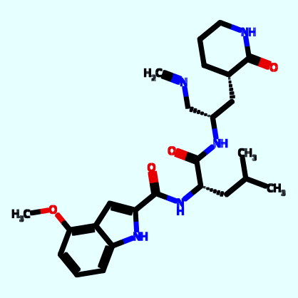 C=NC[C@H](C[C@@H]1CCCNC1=O)NC(=O)[C@H](CC(C)C)NC(=O)c1cc2c(OC)cccc2[nH]1